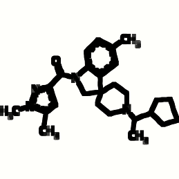 Cc1ccc2c(c1)C1(CCN(C(C)C3CCCC3)CC1)CN2C(=O)c1cc(C)n(C)n1